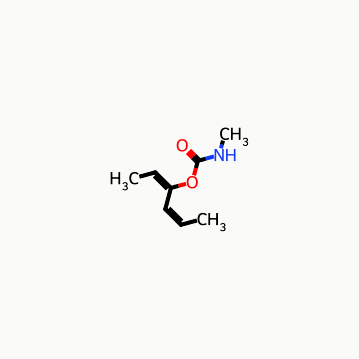 C/C=C\C(=C/C)OC(=O)NC